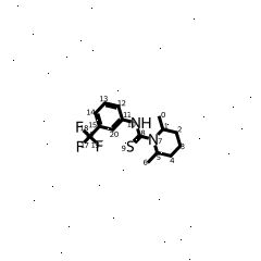 CC1CCCC(C)N1C(=S)Nc1cccc(C(F)(F)F)c1